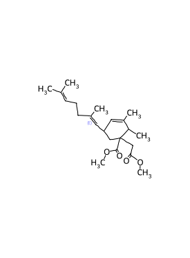 COC(=O)CC1(C(=O)OC)CC(/C=C(\C)CCC=C(C)C)C=C(C)C1C